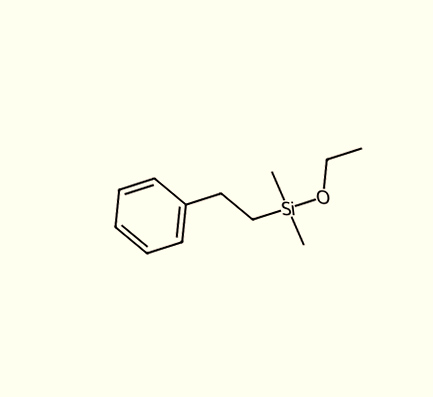 CCO[Si](C)(C)CCc1ccccc1